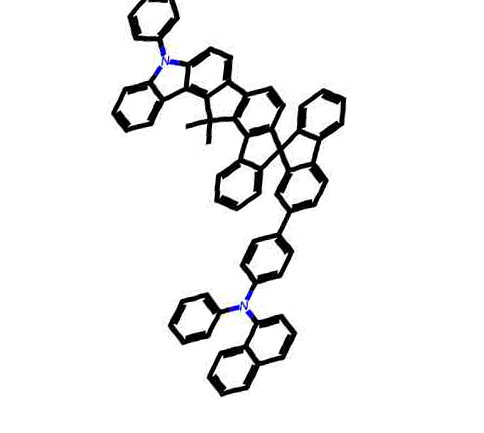 CC1(C)c2c(ccc3c2-c2ccccc2C32c3ccccc3-c3ccc(-c4ccc(N(c5ccccc5)c5cccc6ccccc56)cc4)cc32)-c2ccc3c(c21)c1ccccc1n3-c1ccccc1